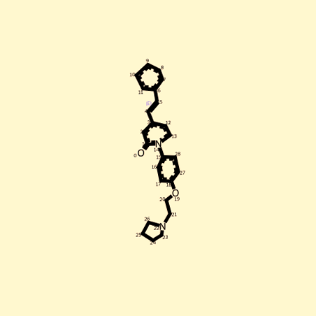 O=c1cc(/C=C/c2ccccc2)ccn1-c1ccc(OCCN2CCCC2)cc1